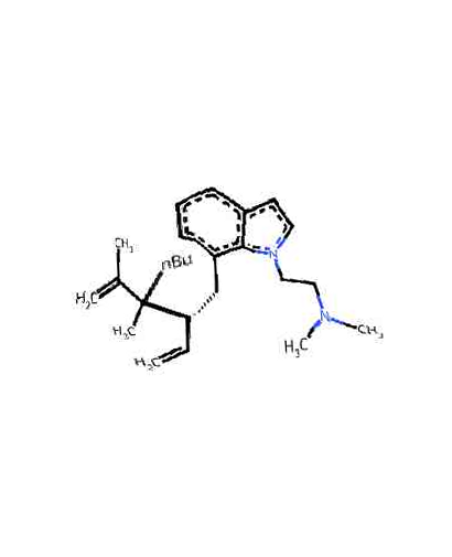 C=C[C@@H](Cc1cccc2ccn(CCN(C)C)c12)C(C)(CCCC)C(=C)C